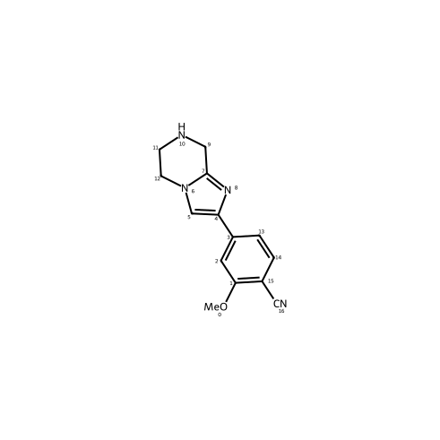 COc1cc(-c2cn3c(n2)CNCC3)ccc1C#N